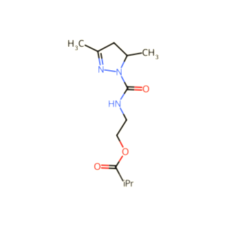 CC1=NN(C(=O)NCCOC(=O)C(C)C)C(C)C1